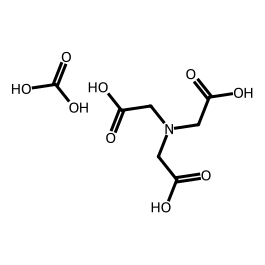 O=C(O)CN(CC(=O)O)CC(=O)O.O=C(O)O